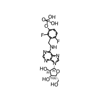 O=P(O)(O)Oc1ccc(F)c(CNc2ncnc3c2ncn3[C@@H]2O[C@H](CO)[C@@H](O)[C@H]2O)c1F